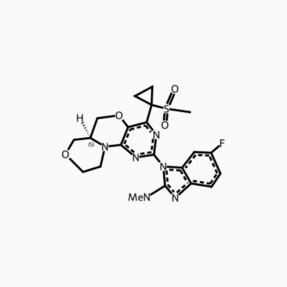 CNc1nc2ccc(F)cc2n1-c1nc2c(c(C3(S(C)(=O)=O)CC3)n1)OC[C@@H]1COCCN21